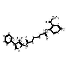 COC(=O)c1cc(Cl)ccc1NC(=O)CCCCC(=O)Nc1scc(-c2ccccc2)c1C(=O)O